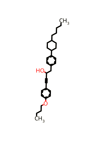 CCCCCC1CCC(c2ccc(CC(O)C#Cc3ccc(OCCCC)cc3)cc2)CC1